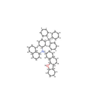 c1ccc([Si](c2ccccc2)(c2ccccc2)c2cccc(N(c3ccc4ccc5c6ccccc6oc5c4c3)c3cccc4ccccc34)c2)cc1